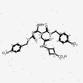 CNC(=NC(=O)OCc1ccc([N+](=O)[O-])cc1)N(CC(=O)NC1CN(C(=O)O)C1)C(=O)OCc1ccc([N+](=O)[O-])cc1